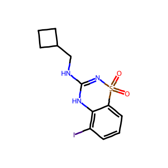 O=S1(=O)N=C(NCC2CCC2)Nc2c(I)cccc21